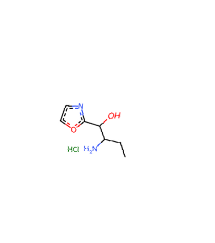 CCC(N)C(O)c1ncco1.Cl